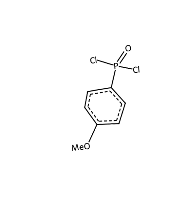 COc1ccc(P(=O)(Cl)Cl)cc1